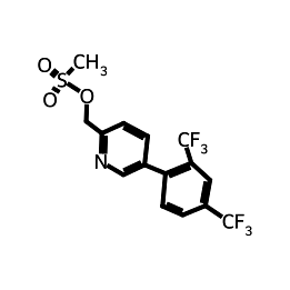 CS(=O)(=O)OCc1ccc(-c2ccc(C(F)(F)F)cc2C(F)(F)F)cn1